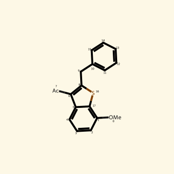 COc1cccc2c(C(C)=O)c(Cc3ccccc3)sc12